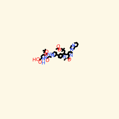 CCn1c(-c2cc(N3CCN4CCCCC4C3)cnc2[C@H](C)OC)c(CC(C)(C)COC(C)=O)c2cc(C3=CCCN(CC(NC(=O)OC(C)(C)C)C(=O)N4CCCC(C(=O)O)N4)C3)ccc21